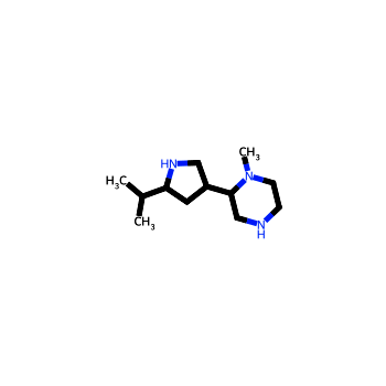 CC(C)C1CC(C2CNCCN2C)CN1